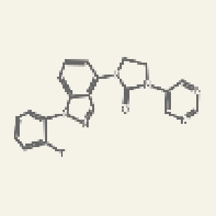 O=C1N(c2cncnc2)CCN1c1cccc2c1cnn2-c1ccccc1F